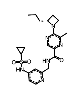 CCC[C@@H]1CCN1c1ncc(C(=O)NCc2cc(NS(=O)(=O)C3CC3)ccn2)nc1C